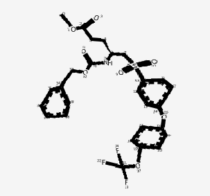 COC(=O)CC[C@@H](CS(=O)(=O)c1ccc(Oc2ccc(OC(F)(F)F)cc2)cc1)NC(=O)OCc1ccccc1